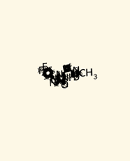 Cc1nc([C@@H]2CC[C@@H]2c2nc3c(cnn3C3CCC(F)(F)CC3)c(=O)[nH]2)cs1